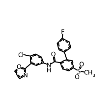 CS(=O)(=O)c1ccc(C(=O)Nc2ccc(Cl)c(-c3ncco3)c2)c(-c2ccc(F)cc2)c1